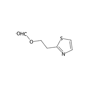 O=[C]OCCc1nccs1